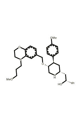 COCCCN1CCOc2ccc(CO[C@H]3CN[C@@H](C[C@@H](O)C(C)C)C[C@@H]3c3ccc(OC)cc3)cc21